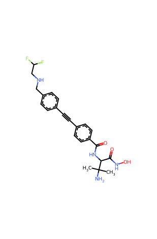 CC(C)(N)C(NC(=O)c1ccc(C#Cc2ccc(CNCC(F)F)cc2)cc1)C(=O)NO